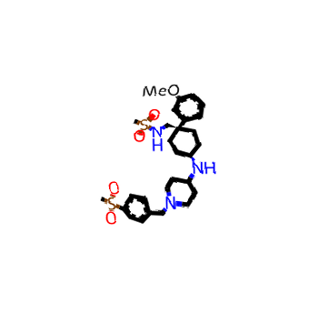 COc1cccc([C@]2(CNS(C)(=O)=O)CC[C@@H](NC3CCN(Cc4ccc(S(C)(=O)=O)cc4)CC3)CC2)c1